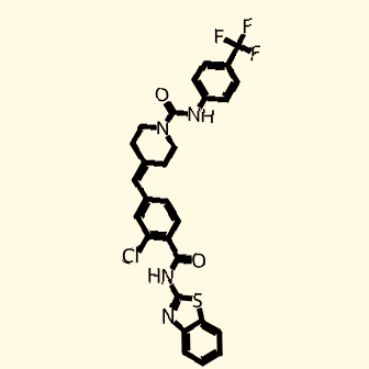 O=C(Nc1nc2ccccc2s1)c1ccc(C=C2CCN(C(=O)Nc3ccc(C(F)(F)F)cc3)CC2)cc1Cl